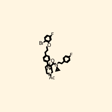 CC(=O)N1CC2CC(c3ccc(CCCOc4cc(F)ccc4Br)cc3)=C(C(=O)N(CCc3ccc(F)cc3)C3CC3)C(C1)N2